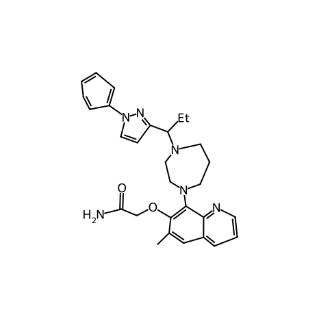 CCC(c1ccn(-c2ccccc2)n1)N1CCCN(c2c(OCC(N)=O)c(C)cc3cccnc23)CC1